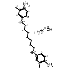 Cc1cc(NCCCCCCCNc2ccc(N)c(C)c2)ccc1N.Cl.Cl.Cl.Cl